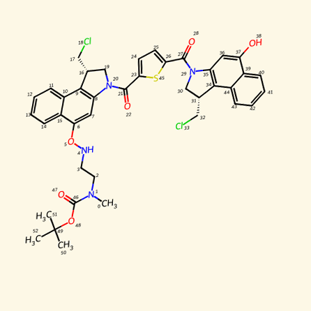 CN(CCNOc1cc2c(c3ccccc13)[C@H](CCl)CN2C(=O)c1ccc(C(=O)N2C[C@@H](CCl)c3c2cc(O)c2ccccc32)s1)C(=O)OC(C)(C)C